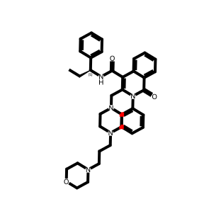 CC[C@H](NC(=O)c1c(CN2CCN(CCCN3CCOCC3)CC2)n(-c2ccccc2)c(=O)c2ccccc12)c1ccccc1